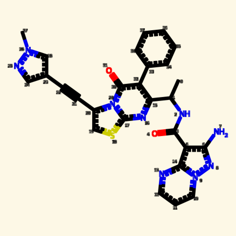 CC(NC(=O)c1c(N)nn2cccnc12)c1nc2scc(C#Cc3cnn(C)c3)n2c(=O)c1-c1ccccc1